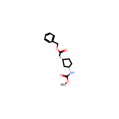 CC(C)(C)OC(=O)N[C@H]1CC[C@@H](CC(=O)OCc2ccccc2)C1